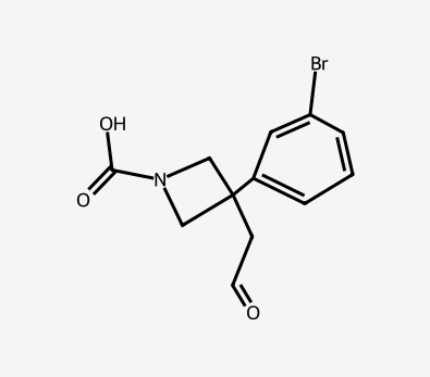 O=CCC1(c2cccc(Br)c2)CN(C(=O)O)C1